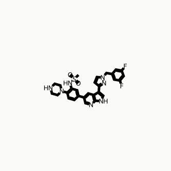 CS(=O)(=O)Nc1cc(-c2cnc3[nH]cc(-c4ccn(Cc5cc(F)cc(F)c5)n4)c3c2)ccc1N1CCNCC1